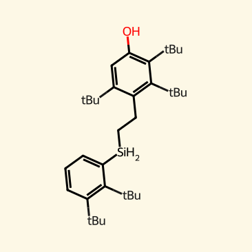 CC(C)(C)c1cc(O)c(C(C)(C)C)c(C(C)(C)C)c1CC[SiH2]c1cccc(C(C)(C)C)c1C(C)(C)C